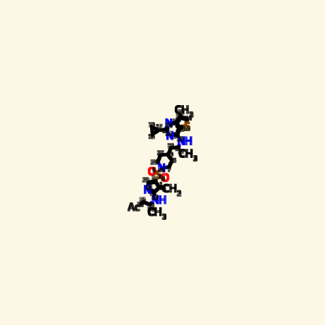 C=C1C(S(=O)(=O)N2CCC(C[C@H](C)Nc3nc(C4CC4)nc4c(C)csc34)CC2)=CN=C1N[C@H](C)CC(C)=O